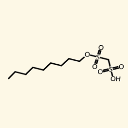 CCCCCCCCCOS(=O)(=O)CS(=O)(=O)O